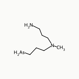 CN(CCCN)CCC[AsH2]